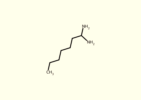 CCCCCCC(N)N